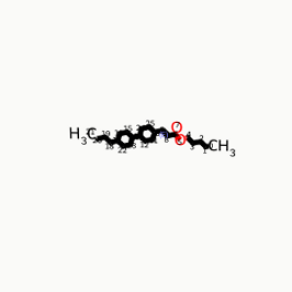 CCCCCOC(=O)/C=C/C1CCC(C2CCC(CCCC)CC2)CC1